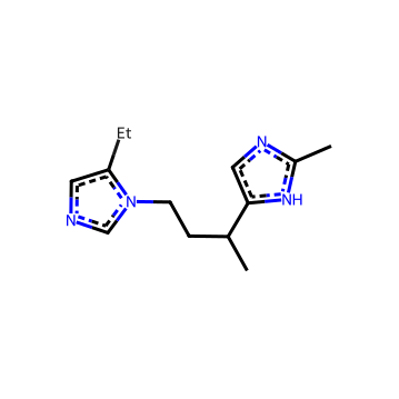 CCc1cncn1CCC(C)c1cnc(C)[nH]1